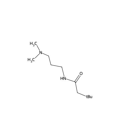 CN(C)CCCNC(=O)CC(C)(C)C